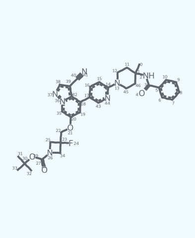 CC1(NC(=O)c2ccccc2)CCN(c2ccc(-c3cc(OCC4(F)CN(C(=O)OC(C)(C)C)C4)cn4ncc(C#N)c34)cn2)CC1